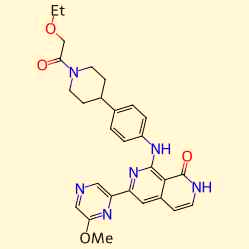 CCOCC(=O)N1CCC(c2ccc(Nc3nc(-c4cncc(OC)n4)cc4cc[nH]c(=O)c34)cc2)CC1